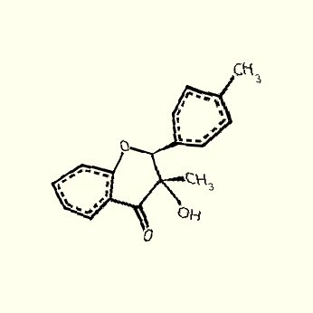 Cc1ccc([C@@H]2Oc3ccccc3C(=O)[C@@]2(C)O)cc1